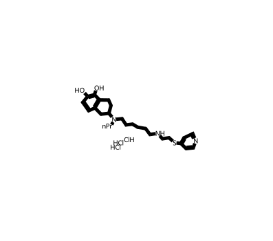 CCCN(CCCCCCNCCSc1ccncc1)C1CCc2c(ccc(O)c2O)C1.Cl.Cl.Cl